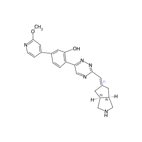 COc1cc(-c2ccc(-c3cnc(/C=C4/C[C@H]5CNC[C@H]5C4)nn3)c(O)c2)ccn1